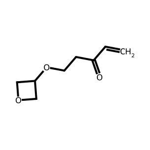 C=CC(=O)CCOC1COC1